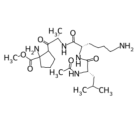 COC(=O)C1(N)CCCC1C(=O)[C@H](C)NC(=O)[C@H](CCCCN)NC(=O)[C@H](CC(C)C)NC(C)=O